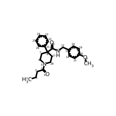 CCCC(=O)N1CCC(C(=O)NCc2ccc(OC)cc2)(c2ccccc2)CC1